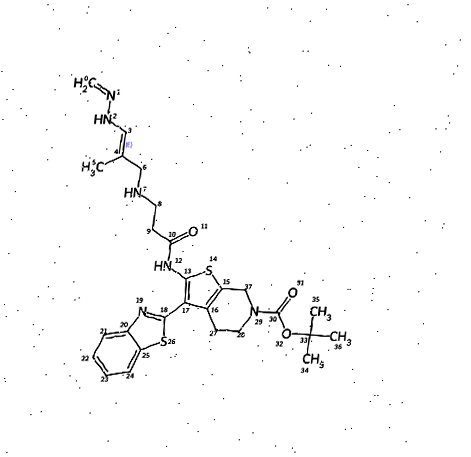 C=NN/C=C(\C)CNCCC(=O)Nc1sc2c(c1-c1nc3ccccc3s1)CCN(C(=O)OC(C)(C)C)C2